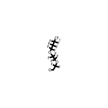 [O]CC(F)(F)OC(F)(F)C(F)(F)OC(F)(F)C(F)(F)C(F)(F)C(F)(F)F